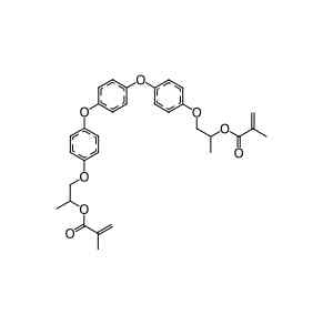 C=C(C)C(=O)OC(C)COc1ccc(Oc2ccc(Oc3ccc(OCC(C)OC(=O)C(=C)C)cc3)cc2)cc1